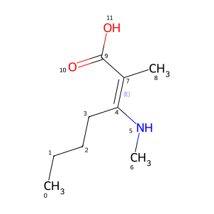 CCCC/C(NC)=C(/C)C(=O)O